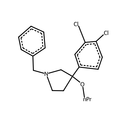 CCCOC1(c2ccc(Cl)c(Cl)c2)CCN(Cc2ccccc2)C1